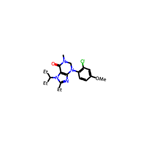 CCc1nc2c(n1C(CC)CC)C(=O)N(C)CN2c1ccc(OC)cc1Cl